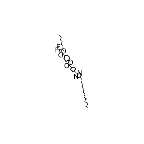 CCCCCCCCCCCCCc1cnc(-c2ccc(C(=O)Oc3ccc(C(=O)O[C@@H](CCCCCC)C(F)(F)F)cc3)cc2)nc1